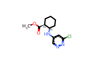 COC(=O)[C@H]1CCCC[C@H]1Nc1cnnc(Cl)c1